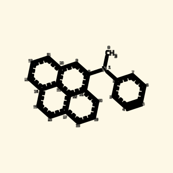 CN(c1cc#ccc1)c1cc2cccc3ccc4cccc1c4c32